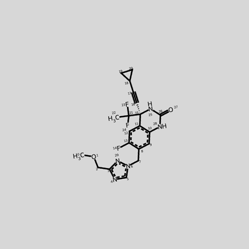 COCc1ncn(Cc2cc3c(cc2F)[C@@](C#CC2CC2)(C(C)(F)F)NC(=O)N3)n1